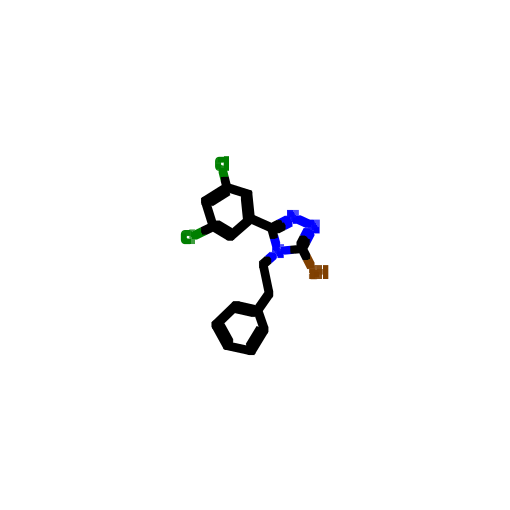 Sc1nnc(-c2cc(Cl)cc(Cl)c2)n1CCc1ccccc1